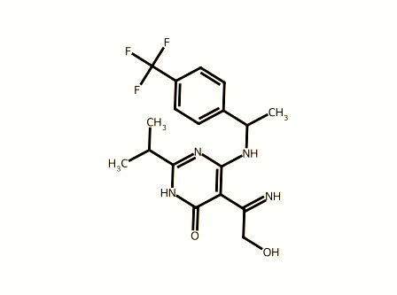 CC(C)c1nc(NC(C)c2ccc(C(F)(F)F)cc2)c(C(=N)CO)c(=O)[nH]1